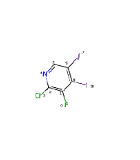 Fc1c(Cl)ncc(I)c1I